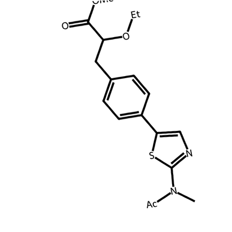 CCOC(Cc1ccc(-c2cnc(N(C)C(C)=O)s2)cc1)C(=O)OC